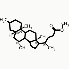 COC(=O)CC[C@@H](C)C1CCC2C3C(CC[C@@]21C)[C@@]1(C)CCC(C)C[C@H]1C[C@H]3O